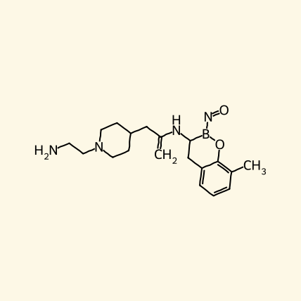 C=C(CC1CCN(CCN)CC1)NC1Cc2cccc(C)c2OB1N=O